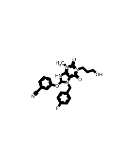 Cn1c2c(c(=O)n(CCCO)c1=O)N(Cc1ccc(F)cc1)C(Oc1cccc(C#N)c1)N2